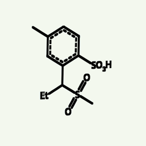 CCC(c1cc(C)ccc1S(=O)(=O)O)S(C)(=O)=O